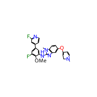 COc1c(F)cc(-c2ccnc(F)c2)cc1Nc1nc2cc(OC3=CCN(C)C=C3)ccc2n1C